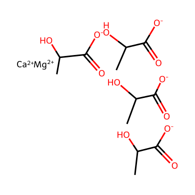 CC(O)C(=O)[O-].CC(O)C(=O)[O-].CC(O)C(=O)[O-].CC(O)C(=O)[O-].[Ca+2].[Mg+2]